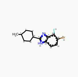 CC1CC[C](c2nc3c(F)c(Br)ccc3[nH]2)CC1